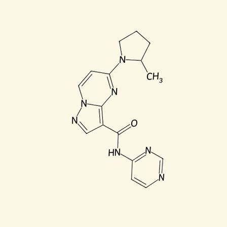 CC1CCCN1c1ccn2ncc(C(=O)Nc3ccncn3)c2n1